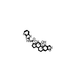 C[C@]12Cc3cnoc3C=C1CCC1C2[C@@H](O)C[C@@]2(C)C1CC[C@@H]2C(=O)Nc1nc2cccnc2s1